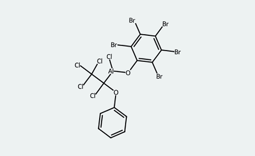 [Cl][Al]([O]c1c(Br)c(Br)c(Br)c(Br)c1Br)[C](Cl)(Oc1ccccc1)C(Cl)(Cl)Cl